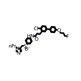 CCCn1cncc1C[S+]([O-])c1ccc(NC(=O)/C=C/c2cc(-c3ccc(OCCCF)cc3)ccc2Cl)cc1